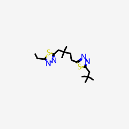 CCc1nnc(CC(C)(C)CCc2nnc(CC(C)(C)C)s2)s1